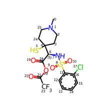 CN1CCC(S)([C@@H](NS(=O)(=O)c2ccccc2Cl)C(=O)OC(=O)C(F)(F)F)CC1